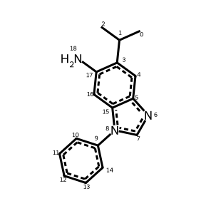 CC(C)c1cc2ncn(-c3ccccc3)c2cc1N